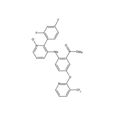 COC(=O)c1cc(Oc2ncccc2C(F)(F)F)ccc1Nc1ccc[n+]([O-])c1-c1ccc(F)cc1F